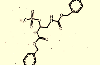 CS(=O)(=O)OC(CNC(=O)OCc1ccccc1)NC(=O)OCc1ccccc1